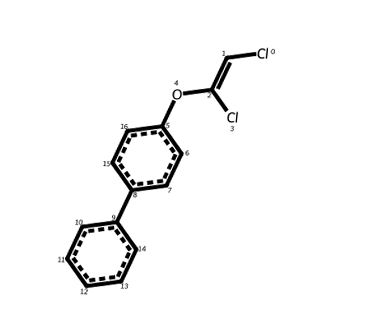 ClC=C(Cl)Oc1ccc(-c2ccccc2)cc1